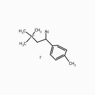 CC(=O)C(C[N+](C)(C)C)c1ccc(C)cc1.[I-]